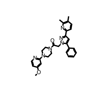 COc1ccnc(N2CCN(C(=O)Cn3nc(-c4ccc(C)c(C)n4)cc3-c3ccccc3)CC2)c1